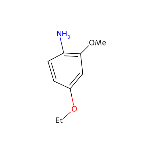 CCOc1ccc(N)c(OC)c1